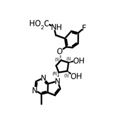 Cc1ncnc2c1ccn2[C@@H]1C[C@H](Oc2ccc(F)cc2CNC(=O)O)[C@@H](O)[C@H]1O